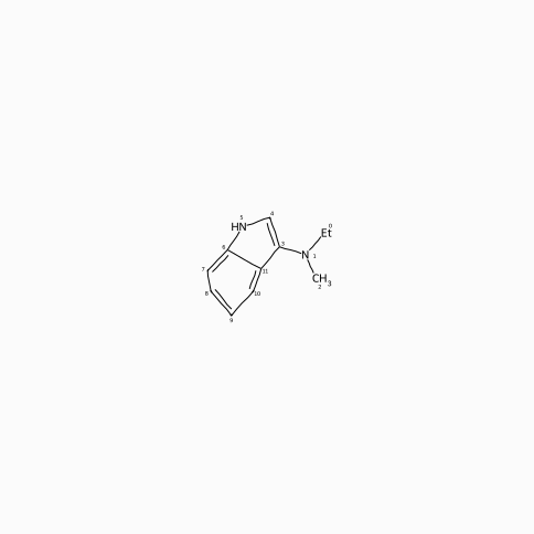 CCN(C)c1c[nH]c2ccccc12